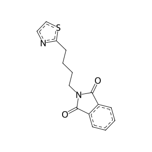 O=C1c2ccccc2C(=O)N1CCCCc1nccs1